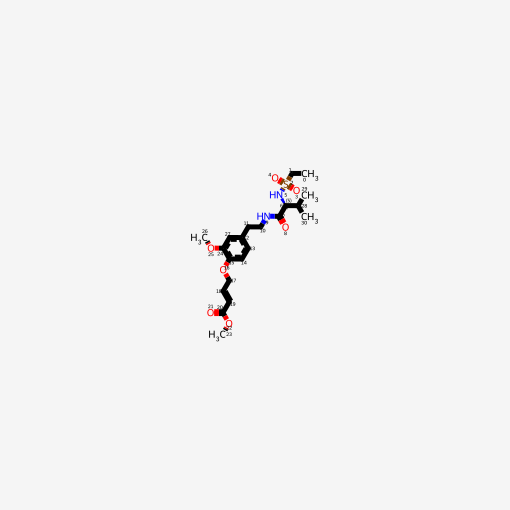 CCS(=O)(=O)N[C@H](C(=O)NCCc1ccc(OCC=CC(=O)OC)c(OC)c1)C(C)C